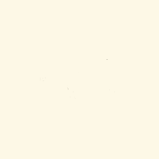 Cc1ccc(C(C)(C)C)cc1F